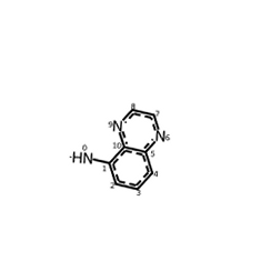 [NH]c1cccc2nccnc12